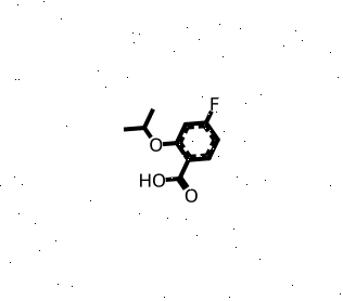 CC(C)Oc1cc(F)ccc1C(=O)O